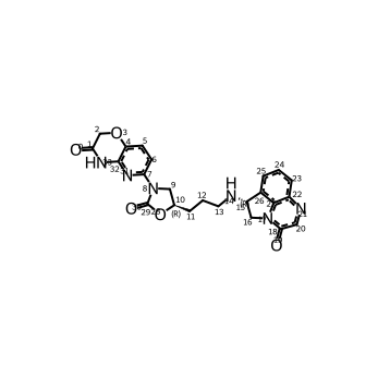 O=C1COc2ccc(N3C[C@@H](CCCN[C@H]4Cn5c(=O)cnc6cccc4c65)OC3=O)nc2N1